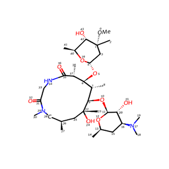 CO[C@]1(C)C[C@H](O[C@H]2[C@H](C)[C@@H](O[C@@H]3O[C@H](C)C[C@H](N(C)C)[C@H]3O)[C@](C)(O)C[C@@H](C)CN(C)C(=O)CNC(=O)[C@@H]2C)O[C@@H](C)[C@@H]1O